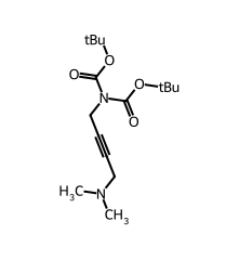 CN(C)CC#CCN(C(=O)OC(C)(C)C)C(=O)OC(C)(C)C